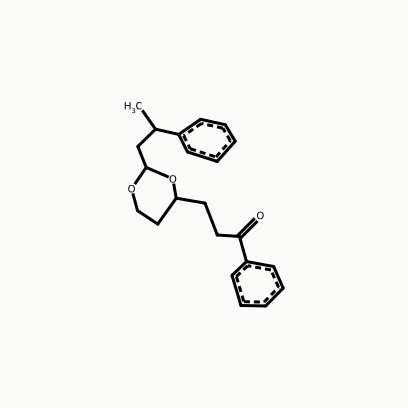 CC(CC1OCCC(CCC(=O)c2ccccc2)O1)c1ccccc1